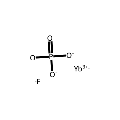 O=P([O-])([O-])[O-].[F].[Yb+3]